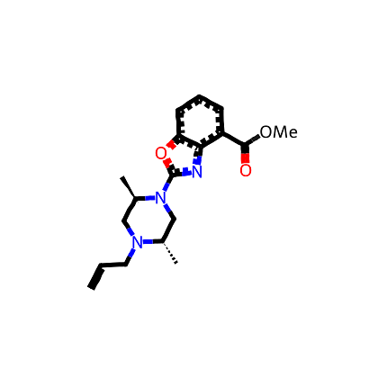 C=CCN1C[C@@H](C)N(c2nc3c(C(=O)OC)cccc3o2)C[C@@H]1C